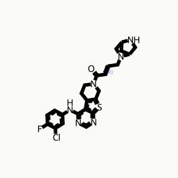 O=C(/C=C/CN1CC2CC1CN2)N1CCc2c(sc3ncnc(Nc4ccc(F)c(Cl)c4)c23)C1